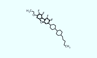 CCCCCC1CCC(C2CCC(c3cc4oc5cc(OCC)c(F)c(F)c5c4c(F)c3F)CC2)CC1